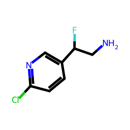 NCC(F)c1ccc(Cl)nc1